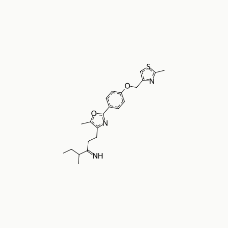 CCC(C)C(=N)CCc1nc(-c2ccc(OCc3csc(C)n3)cc2)oc1C